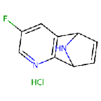 Cl.Fc1cnc2c(c1)C1C=CC2N1